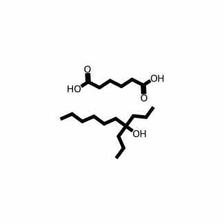 CCCCCCC(O)(CCC)CCC.O=C(O)CCCCC(=O)O